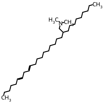 CCCCCC=CCC=CCCCCCCCCCC(CCCCCCCCC)CN(C)C